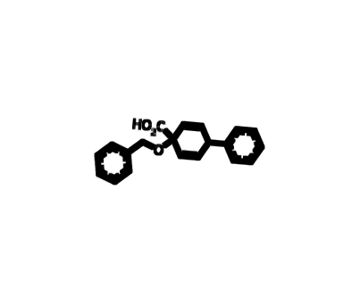 O=C(O)C1(OCc2ccccc2)C=CC(c2ccccc2)C=C1